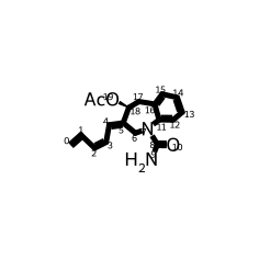 C=C/C=C\C=C1/CN(C(N)=O)c2ccccc2C[C@@H]1OC(C)=O